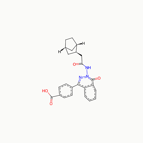 O=C(C[C@H]1C[C@@H]2CC[C@H]1C2)Nn1nc(-c2ccc(C(=O)O)cc2)c2ccccc2c1=O